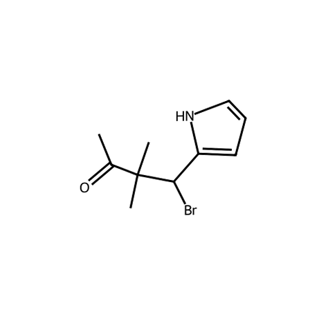 CC(=O)C(C)(C)C(Br)c1ccc[nH]1